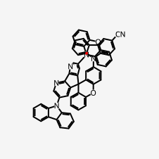 N#Cc1ccc2c(c1)c1ccccc1n2-c1ccc2c(c1)C1(c3ccccc3O2)c2cc(N3c4ccccc4Oc4ccccc43)cnc2-c2ncc(-n3c4ccccc4c4ccccc43)cc21